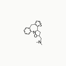 CN(C)CC1CC2c3sccc3Cc3ccccc3N2O1